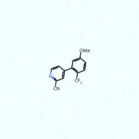 COc1ccc(C(F)(F)F)c(-c2ccnc(C#N)c2)c1